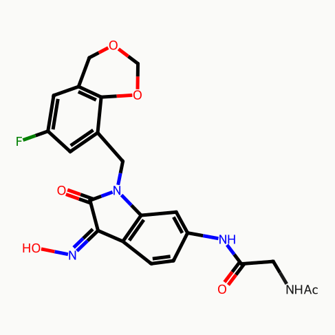 CC(=O)NCC(=O)Nc1ccc2c(c1)N(Cc1cc(F)cc3c1OCOC3)C(=O)/C2=N\O